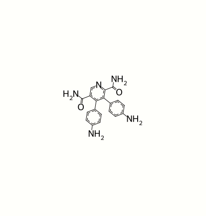 NC(=O)c1cnc(C(N)=O)c(-c2ccc(N)cc2)c1-c1ccc(N)cc1